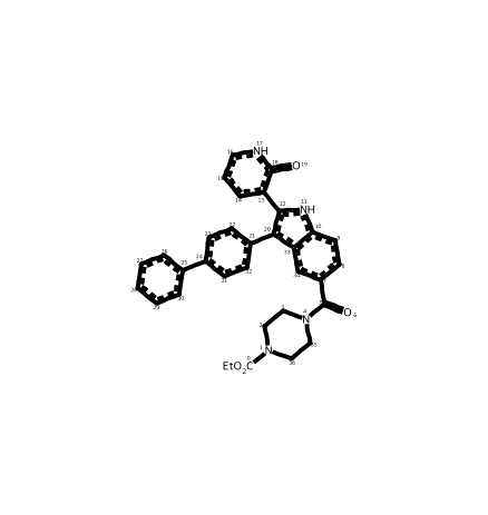 CCOC(=O)N1CCN(C(=O)c2ccc3[nH]c(-c4ccc[nH]c4=O)c(-c4ccc(-c5ccccc5)cc4)c3c2)CC1